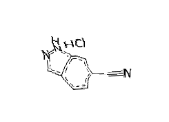 Cl.N#Cc1ccc2cn[nH]c2c1